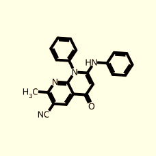 Cc1nc2c(cc1C#N)c(=O)cc(Nc1ccccc1)n2-c1ccccc1